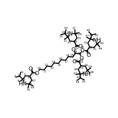 CC(C)C1(C)CC(C(=O)OCCCCCCCCCCC(OC(=O)C2CC(C)(C)NC(C)(C(C)C)C2)C(OC(=O)C2CC(C)(C)NC(C)(C(C)C)C2)OC(=O)C2CC(C)(C)NC(C)(C(C)C)C2)CC(C)(C)N1